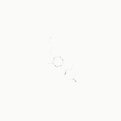 CC1CC(=O)NN=C1c1ccc(NCCN)c([N+](=O)[O-])c1